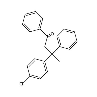 CC(CC(=O)c1ccccc1)(c1ccccc1)c1ccc(Cl)cc1